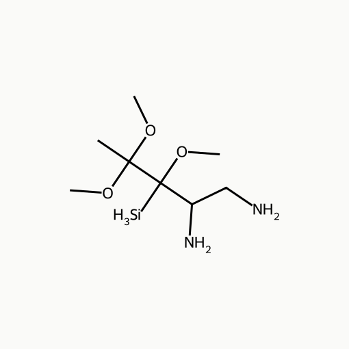 COC(C)(OC)C([SiH3])(OC)C(N)CN